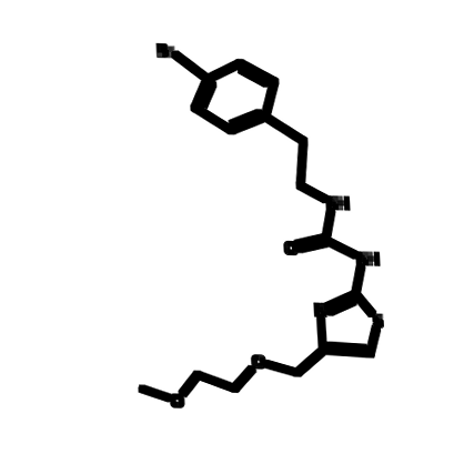 COCCOCc1csc(NC(=O)NCCc2ccc(Br)cc2)n1